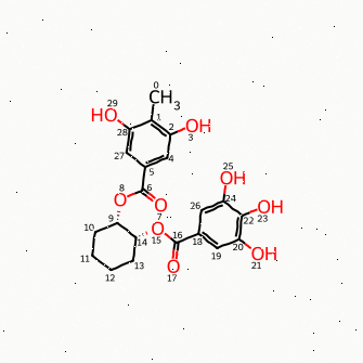 Cc1c(O)cc(C(=O)O[C@H]2CCCC[C@H]2OC(=O)c2cc(O)c(O)c(O)c2)cc1O